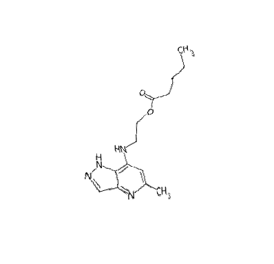 CCCCC(=O)OCCNc1cc(C)nc2cn[nH]c12